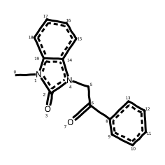 Cn1c(=O)n(CC(=O)c2ccccc2)c2ccccc21